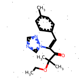 CCOC(C)(C)C(=O)C(=Cc1ccc(C)cc1)n1cncn1